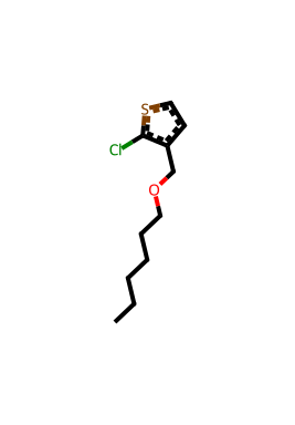 CCCCCCOCc1ccsc1Cl